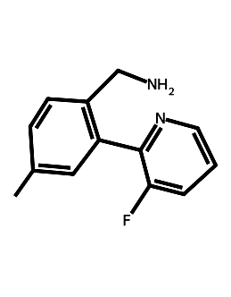 Cc1ccc(CN)c(-c2ncccc2F)c1